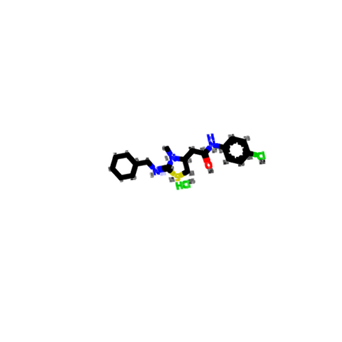 CN1/C(=N\CC2CCCCC2)SCC1CC(=O)Nc1ccc(Cl)cc1.Cl